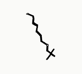 CC(C)(C)COCCCCCC[O]